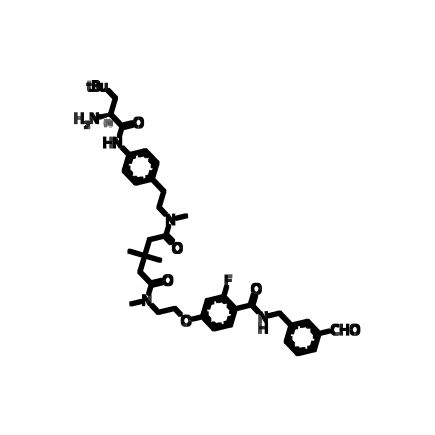 CN(CCOc1ccc(C(=O)NCc2cccc(C=O)c2)c(F)c1)C(=O)CC(C)(C)CC(=O)N(C)CCc1ccc(NC(=O)[C@@H](N)CC(C)(C)C)cc1